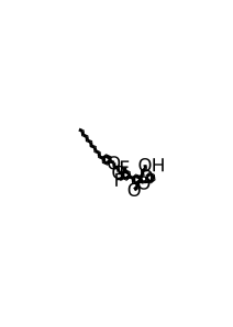 CCCCCCCCCCCc1ccc(OCCOc2c(F)cc(-c3cc(C=O)c(OC4CCCCO4)c(CCCO)c3)cc2F)cc1